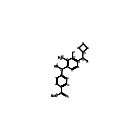 COC(=O)c1ccc(N(O)c2ccc(N(C)C3CCC3)c(C)c2N)cc1